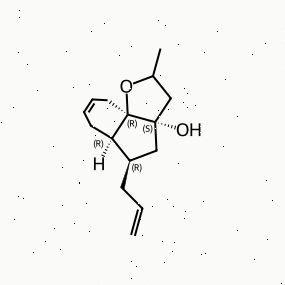 C=CC[C@@H]1C[C@]2(O)CC(C)O[C@@]23CC=CC[C@H]13